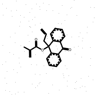 C=CCC1(OC(=O)C(=C)C)c2ccccc2C(=O)c2ccccc21